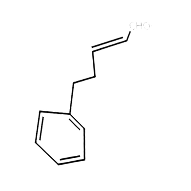 O=[C]C=CCCc1ccccc1